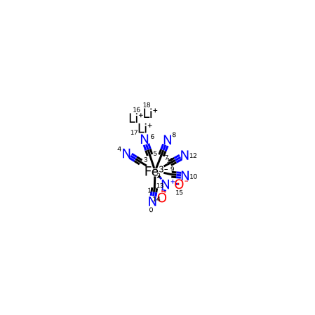 N#[C][Fe-3]([C]#N)([C]#N)([C]#N)([C]#N)([C]#N)[N+](=O)[O-].[Li+].[Li+].[Li+]